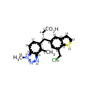 Cc1c([C@H](CC(=O)O)c2cc(CCl)c3sccc3c2)ccc2c1nnn2C